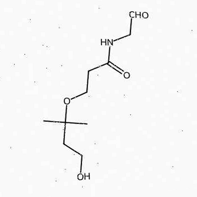 CC(C)(CCO)OCCC(=O)NCC=O